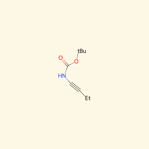 CCC#CNC(=O)OC(C)(C)C